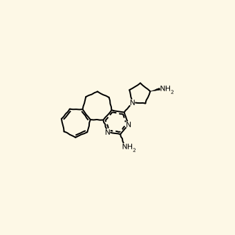 Nc1nc2c(c(N3CC[C@@H](N)C3)n1)CCCC1=C2C=CCC=C1